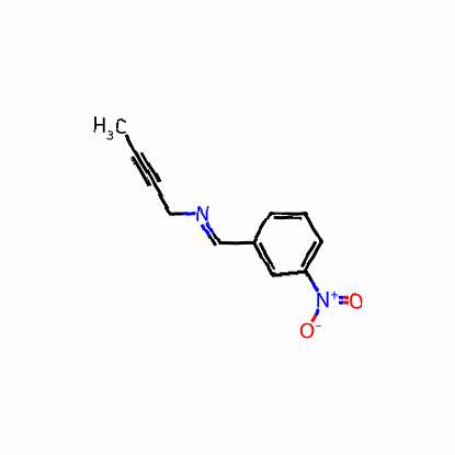 CC#CCN=Cc1cccc([N+](=O)[O-])c1